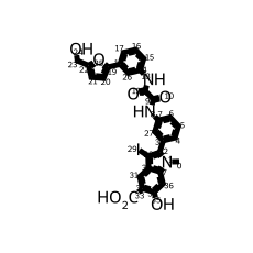 Cn1c(-c2cccc(NC(=O)C(=O)Nc3cccc(-c4ccc(CO)o4)c3)c2)c(I)c2cc(C(=O)O)c(O)cc21